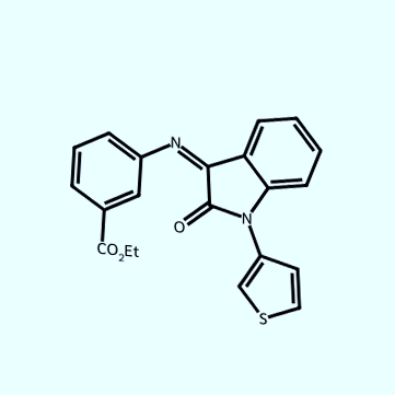 CCOC(=O)c1cccc(N=C2C(=O)N(c3ccsc3)c3ccccc32)c1